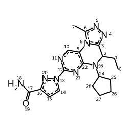 CCC1c2nnc(C)n2-c2cnc(-n3ccc(C(N)=O)n3)nc2N1C1CCCC1